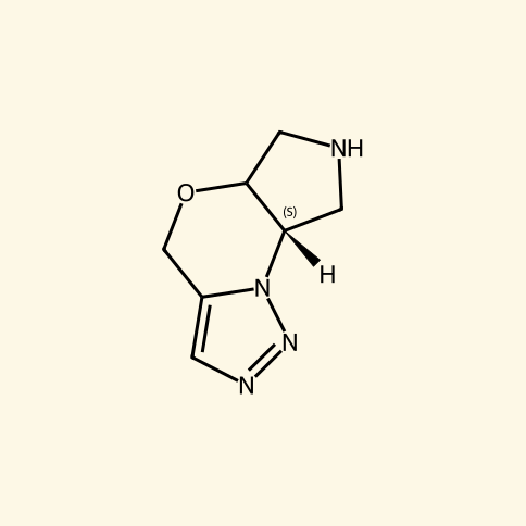 c1nnn2c1COC1CNC[C@@H]12